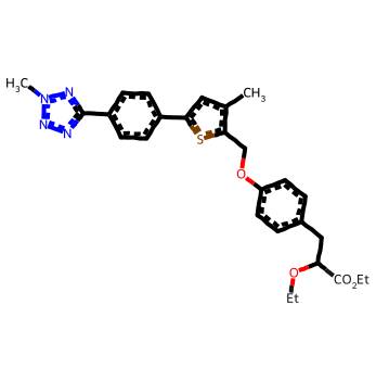 CCOC(=O)C(Cc1ccc(OCc2sc(-c3ccc(-c4nnn(C)n4)cc3)cc2C)cc1)OCC